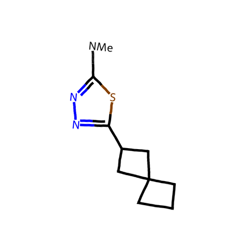 CNc1nnc(C2CC3(CCC3)C2)s1